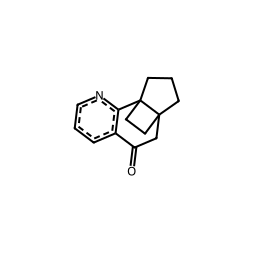 O=C1CC23CCCC2(CC3)c2ncccc21